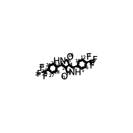 O=C1NC(c2ccc(C(F)(F)F)cc2)=C2C(=O)NC(c3ccc(C(F)(F)F)cc3)=C12